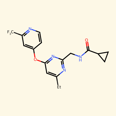 CCc1cc(Oc2ccnc(C(F)(F)F)c2)nc(CNC(=O)C2CC2)n1